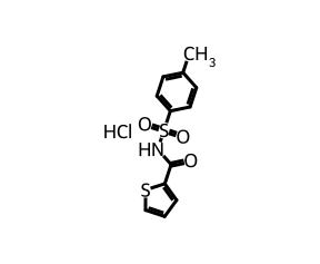 Cc1ccc(S(=O)(=O)NC(=O)c2cccs2)cc1.Cl